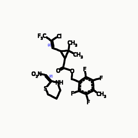 Cc1c(F)c(F)c(COC(=O)C2C(/C=C(\Cl)C(F)(F)F)C2(C)C)c(F)c1F.O=[N+]([O-])/C=C1/NCCCS1